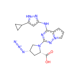 [N-]=[N+]=N[C@H]1C[C@@H](C(=O)O)N(c2nc(Nc3cc(C4CC4)[nH]n3)c3cccn3n2)C1